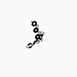 C[C@H]1CC[C@H](Oc2cccc(Sc3ccc(C(=O)C=CN4CCOCC4)c(C(F)(F)F)c3C(F)(F)F)c2)CC1